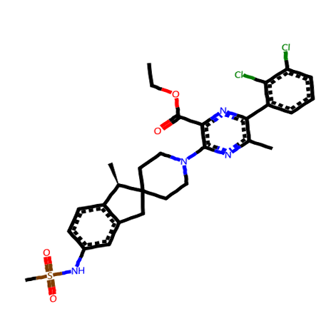 CCOC(=O)c1nc(-c2cccc(Cl)c2Cl)c(C)nc1N1CCC2(CC1)Cc1cc(NS(C)(=O)=O)ccc1[C@H]2C